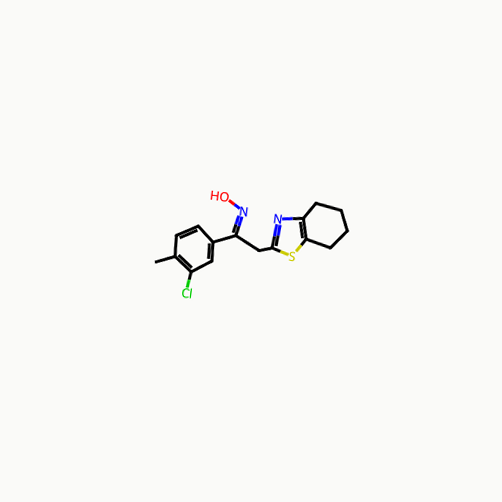 Cc1ccc(C(Cc2nc3c(s2)CCCC3)=NO)cc1Cl